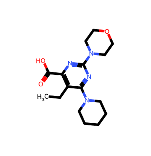 CCc1c(C(=O)O)nc(N2CCOCC2)nc1N1CCCCC1